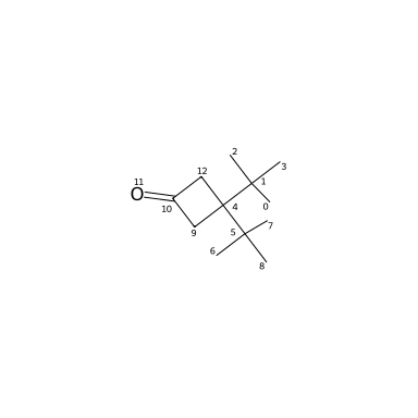 CC(C)(C)C1(C(C)(C)C)CC(=O)C1